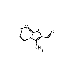 CC1=C(C=O)SC2=NCCCN21